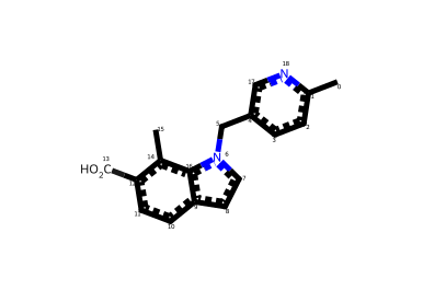 Cc1ccc(Cn2ccc3ccc(C(=O)O)c(C)c32)cn1